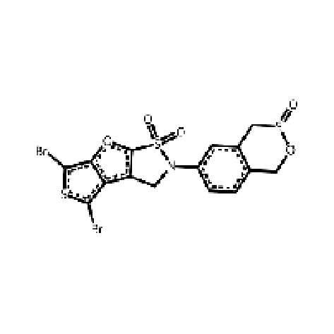 O=S1Cc2cc(N3Cc4c(oc5c(Br)sc(Br)c45)S3(=O)=O)ccc2CO1